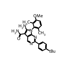 COc1ccc(C)c(-n2c(N)c(C(N)=O)c3cnc(-c4ccc(C(C)(C)C)cc4)nc32)c1C